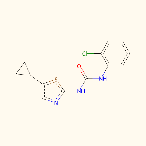 O=C(Nc1ncc(C2CC2)s1)Nc1ccccc1Cl